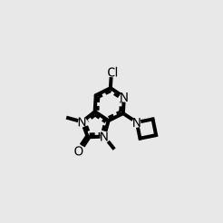 Cn1c(=O)n(C)c2c(N3CCC3)nc(Cl)cc21